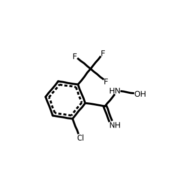 N=C(NO)c1c(Cl)cccc1C(F)(F)F